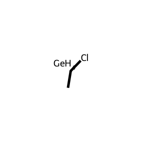 CCCl.[GeH4]